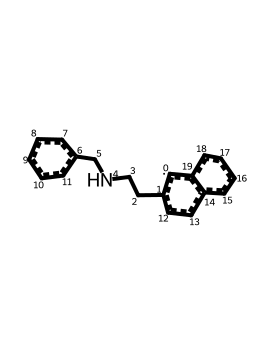 [c]1c(CCNCc2ccccc2)ccc2ccccc12